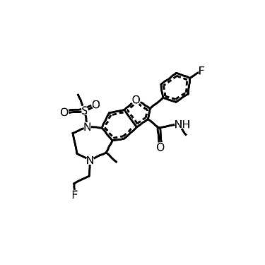 CNC(=O)c1c(-c2ccc(F)cc2)oc2cc3c(cc12)C(C)N(CCF)CCN3S(C)(=O)=O